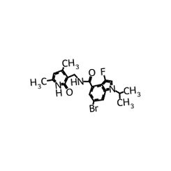 Cc1cc(C)c(CNC(=O)c2cc(Br)cc3c2c(F)cn3C(C)C)c(=O)[nH]1